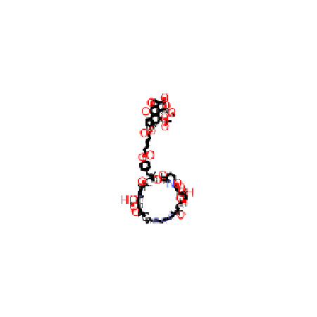 COC[C@H]1OC(=O)c2coc3c2[C@@]1(C)C1=C(C3=O)C2CC[C@H](OC(=O)CCCCC(=O)O[C@H]3CC[C@H](C[C@@H](C)[C@@H]4CC(=O)[C@H](C)/C=C(\C)[C@@H](O)[C@@H](OC)C(=O)[C@H](C)C[C@H](C)/C=C/C=C/C=C(\C)[C@@H](OC)C[C@@H]5CC[C@@H](C)[C@@](O)(O5)C(=O)C(=O)N5CCCC[C@H]5C(=O)O4)CC3)[C@@]2(C)C[C@H]1OC(C)=O